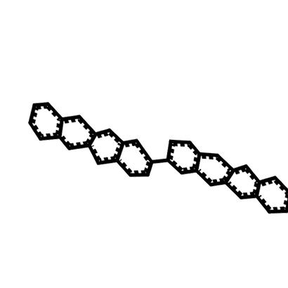 c1ccc2cc3cc4cc(-c5ccc6cc7cc8ccccc8cc7cc6c5)ccc4cc3cc2c1